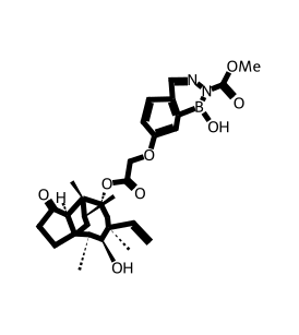 C=C[C@]1(C)C[C@@H](OC(=O)COc2ccc3c(c2)B(O)N(C(=O)OC)N=C3)[C@]2(C)[C@H](C)CC[C@]3(CCC(=O)[C@H]32)[C@@H](C)[C@@H]1O